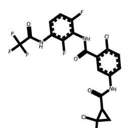 O=C(Nc1c(F)ccc(NC(=O)C(F)(F)F)c1F)c1cc(NC(=O)C2CC2(Cl)Cl)ccc1Cl